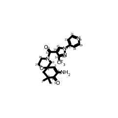 CC1(C)CC2(C=C(N)C1=O)CN(C(=O)c1cn(-c3ccncc3)nc1C(F)(F)F)CCO2